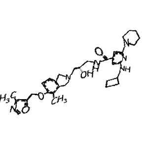 Cc1ncoc1COc1ccc2c(c1C)CCN(C[C@@H](O)CNC(=O)c1cc(NC3CCC3)nc(N3CCCCC3)c1)C2